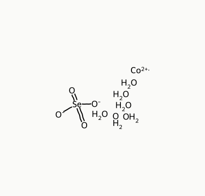 O.O.O.O.O.O.O=[Se](=O)([O-])[O-].[Co+2]